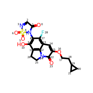 O=C1C=NS(=O)(=O)N1c1c(O)c2c3c(cc(OCCC4CC4)c(=O)n3CC2)c1F